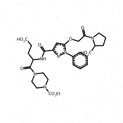 CCOC(=O)N1CCN(C(=O)C(CCC(=O)O)NC(=O)c2cc(OCC(=O)N3CCCC3C(=O)O)n(-c3ccccc3)n2)CC1